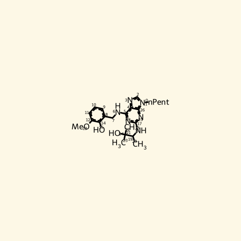 CCCCCn1cnc2c(NCc3cccc(OC)c3O)nc(NC(C)C(C)(C)O)nc21